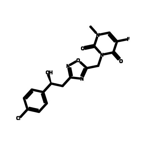 Cn1cc(F)c(=O)n(Cc2nc(C[C@H](O)c3ccc(Cl)cc3)no2)c1=O